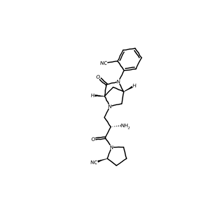 N#Cc1ccccc1N1C(=O)[C@@H]2C[C@H]1CN2C[C@H](N)C(=O)N1CCC[C@H]1C#N